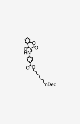 CCCCCCCCCCCCCCCCCOC(=O)c1ccc(NC=C2C(=O)Oc3ccccc3C2=O)cc1